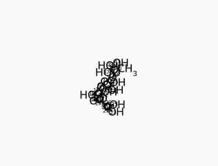 CC1OC(OCC2OC(Oc3cc(O)c4c(=O)cc(-c5ccc(O)c(O)c5)oc4c3)C(O)C(O)C2O)C(O)C(O)C1O